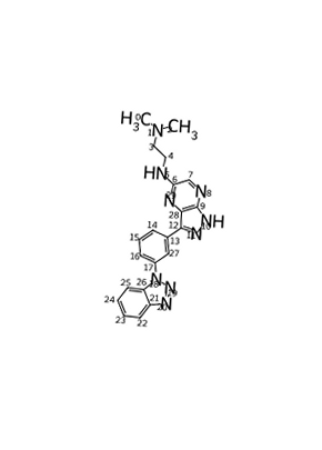 CN(C)CCNc1cnc2[nH]nc(-c3cccc(-n4nnc5ccccc54)c3)c2n1